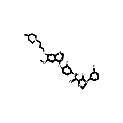 COc1cc2c(Oc3ccc(NC(=O)c4nccn(-c5cccc(F)c5)c4=O)cc3F)ccnc2cc1OCCCN1CCC(C)CC1